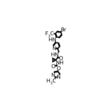 Cc1ncc(OC(=O)NC2(C(=O)NCc3ccc(Nc4ccc(Br)cc4C(F)(F)F)cn3)CC2)cn1